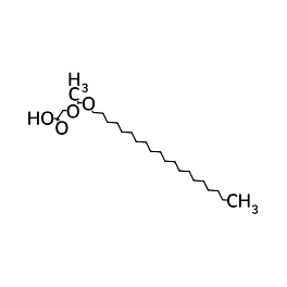 CCCCCCCCCCCCCCCCCCCCOC(C)OCC(=O)O